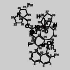 C#Cc1c(F)ccc2cccc(-c3nc4c5c(nc(OC[C@@]67CCCN6C[C@H](F)C7)nc5c3F)N3C[C@H]5CC[C@@H]([C@H]3CC[C@@H]4C)N5C(=O)OC(C)(C)C)c12